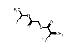 C=C(C)C(=O)OCC(=O)OC(C)C(F)(F)F